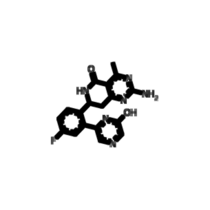 Cc1nc(N)nc2c1C(=O)NC(c1ccc(F)cc1-c1cncc(O)n1)C2